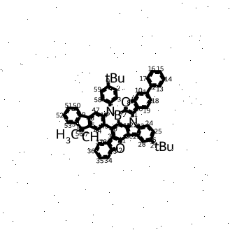 CC(C)(C)c1ccc(N2B3c4oc5cc(-c6ccccc6)ccc5c4-n4c5ccc(C(C)(C)C)cc5c5c6oc7ccccc7c6c(c3c54)-c3cc4c(cc32)-c2ccccc2C4(C)C)cc1